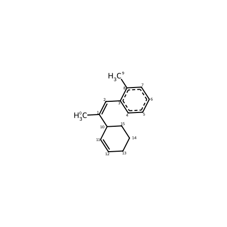 CC(=Cc1ccccc1C)C1C=CCCC1